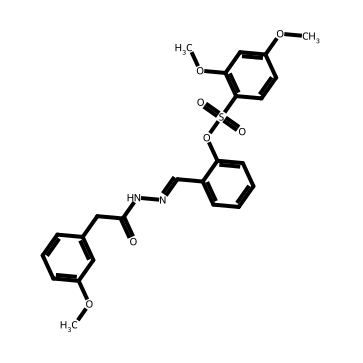 COc1cccc(CC(=O)NN=Cc2ccccc2OS(=O)(=O)c2ccc(OC)cc2OC)c1